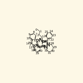 CCCCN(P1c2ccccc2C(C)(C)C(C)C1C)P1[C@H](c2ccccc2)N2CCCCCN2[C@H]1c1ccccc1